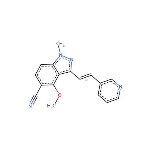 COc1c(C#N)ccc2c1c(/C=C/c1cccnc1)nn2C